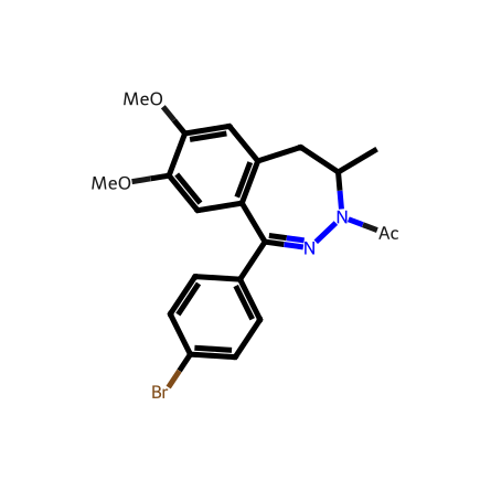 COc1cc2c(cc1OC)C(c1ccc(Br)cc1)=NN(C(C)=O)C(C)C2